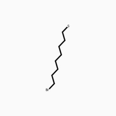 [S]CCCCCCCCBr